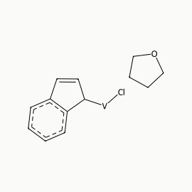 C1CCOC1.[Cl][V][CH]1C=Cc2ccccc21